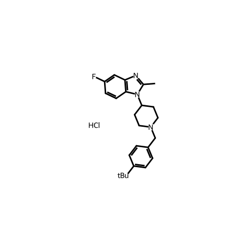 Cc1nc2cc(F)ccc2n1C1CCN(Cc2ccc(C(C)(C)C)cc2)CC1.Cl